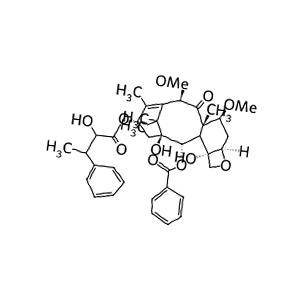 CO[C@H]1C(=O)[C@@]2(C)C([C@H](OC(=O)c3ccccc3)[C@]3(O)C[C@H](OC(=O)C(O)C(C)c4ccccc4)C(C)=C1C3(C)C)[C@]1(O)CO[C@@H]1C[C@@H]2OC